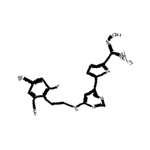 N/C(=N\O)c1ccc(-c2cc(NCCc3c(F)cc(Br)cc3F)ncn2)s1